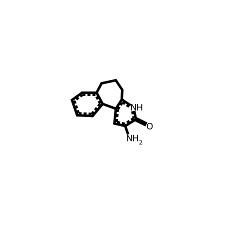 Nc1cc2c([nH]c1=O)CCCc1ccccc1-2